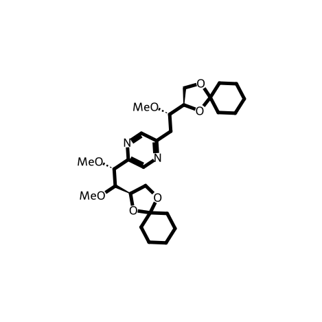 COC([C@H](OC)c1cnc(C[C@H](OC)[C@H]2COC3(CCCCC3)O2)cn1)[C@H]1COC2(CCCCC2)O1